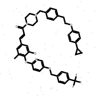 Cc1cc(C=CC(=O)N2CCN(Cc3ccc(CCOc4ccc(C5CC5)cc4)cc3)CC2)cc(Cl)c1Oc1ccc(OCc2ccc(C(F)(F)F)cc2)cn1